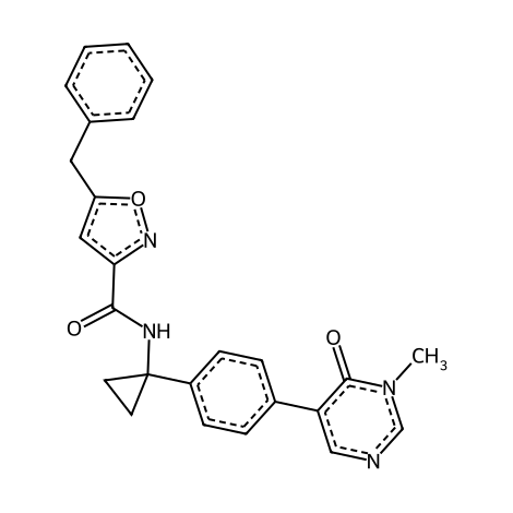 Cn1cncc(-c2ccc(C3(NC(=O)c4cc(Cc5ccccc5)on4)CC3)cc2)c1=O